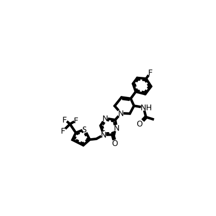 CC(=O)NC1CN(c2ncn(Cc3ccc(C(F)(F)F)s3)c(=O)n2)CC=C1c1ccc(F)cc1